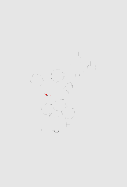 CC1(C)OB(c2ccc3c(c2)C2(c4cc(B5OC(C)(C)C(C)(C)O5)ccc4-c4ccccc4-3)c3ccccc3-c3c2c2ccccc2c2ccccc32)OC1(C)C